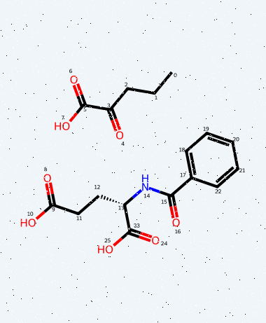 CCCC(=O)C(=O)O.O=C(O)CC[C@H](NC(=O)c1ccccc1)C(=O)O